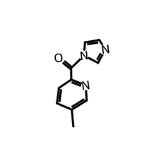 Cc1ccc(C(=O)n2ccnc2)nc1